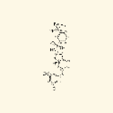 O=S(=O)(N[C@H]1C[C@H]2CN(Cc3cc(Cl)cc(Cl)c3)CCN2C1)c1cccc(C(F)(F)F)c1